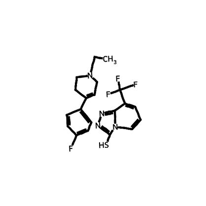 CCN1CC=C(c2ccc(F)cc2)CC1.FC(F)(F)c1cccn2c(S)nnc12